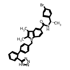 Cc1c(C)n(Cc2ccc(-c3ccccc3-c3nnn[nH]3)cc2)c2ccc(C(=O)N[C@@H](C)c3ccc(Br)cc3)cc12